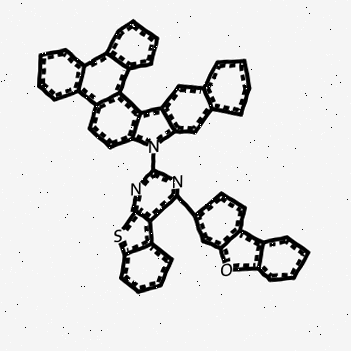 c1ccc2cc3c(cc2c1)c1c2c4ccccc4c4ccccc4c2ccc1n3-c1nc(-c2ccc3c(c2)oc2ccccc23)c2c(n1)sc1ccccc12